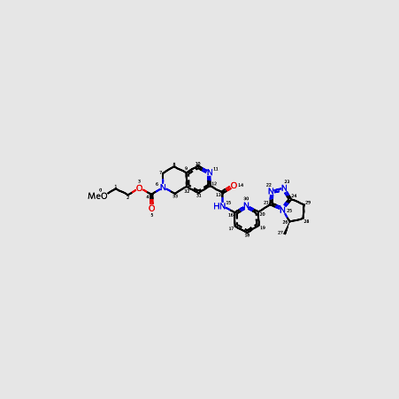 COCCOC(=O)N1CCc2cnc(C(=O)Nc3cccc(-c4nnc5n4[C@H](C)CC5)n3)cc2C1